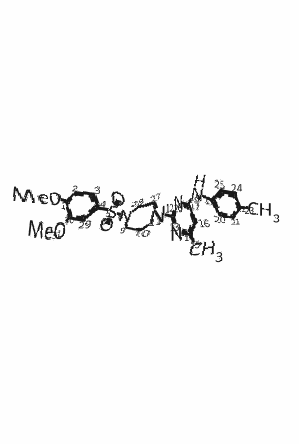 COc1ccc(S(=O)(=O)N2CCN(c3nc(C)cc(Nc4ccc(C)cc4)n3)CC2)cc1OC